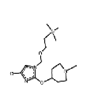 CN1CCC(Oc2nc(Cl)cn2COCC[Si](C)(C)C)CC1